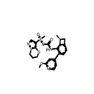 COc1cc(-c2ccc3c(c2NC(=O)N=S(C)(=O)c2cnn4c2OCCC4)[C@@H](C)C3)ccn1